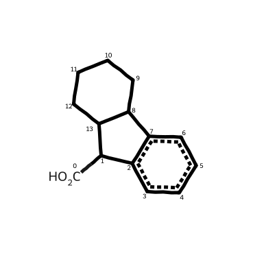 O=C(O)C1c2ccccc2C2CCCCC21